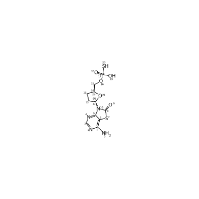 Nc1ncnc2c1sc(=O)n2[C@H]1CC[C@@H](COP(=O)(O)S)O1